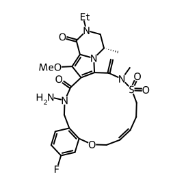 C=C1c2c(c(OC)c3n2[C@@H](C)CN(CC)C3=O)C(=O)N(N)Cc2ccc(F)cc2OC/C=C\CCS(=O)(=O)N1C